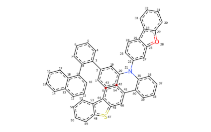 c1cc(-c2ccccc2-c2cccc3ccccc23)cc(N(c2ccc3c(c2)oc2ccccc23)c2ccccc2-c2ccc3c(c2)sc2ccccc23)c1